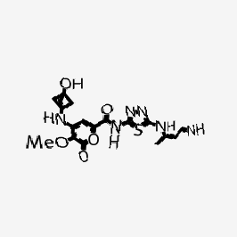 COc1c(NC23CC(O)(C2)C3)cc(C(=O)Nc2nnc(N/C(C)=C\C=N)s2)oc1=O